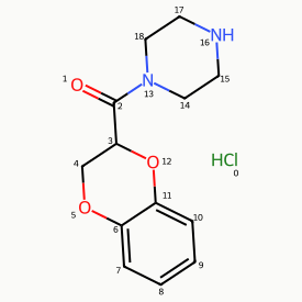 Cl.O=C(C1COc2ccccc2O1)N1CCNCC1